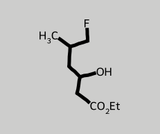 CCOC(=O)CC(O)CC(C)CF